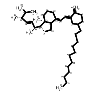 C=C1CCC(CCCCCCCCCCCC)CC1=CC=C1CCC[C@@]2(C)C1CC[C@@H]2[C@H](C)C=C[C@H](C)C(C)C